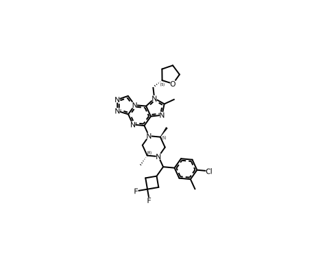 Cc1cc(C(C2CC(F)(F)C2)N2C[C@H](C)N(c3nc4nncn4c4c3nc(C)n4C[C@@H]3CCCO3)C[C@H]2C)ccc1Cl